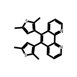 Cc1cc(-c2c(-c3cc(C)sc3C)c3cccnc3c3ncccc23)c(C)s1